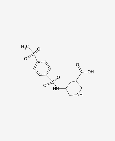 CS(=O)(=O)c1ccc(S(=O)(=O)NC2CNCC(C(=O)O)C2)cc1